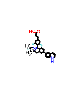 CC1Cc2cc(-c3ccc4c(c3)C=CCN4)ccc2C(c2c(F)cc(/C=C/C(=O)O)cc2F)N1CC(C)(C)F